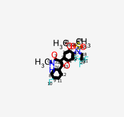 CNC(=O)c1c(-c2ccc(F)cc2)oc2cc(N(CC(F)(F)F)S(C)(=O)=O)c(OC)cc12